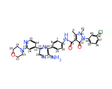 Cc1c(C(=O)Nc2ccc(-c3nc(-c4ccnc(N5CCOCC5)c4)cnc3N)cc2)c(=O)n(-c2cccc(Cl)c2)n1C